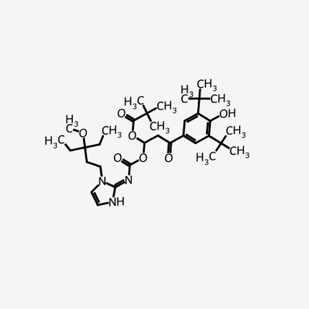 CCC(CC)(CCn1cc[nH]c1=NC(=O)OC(CC(=O)c1cc(C(C)(C)C)c(O)c(C(C)(C)C)c1)OC(=O)C(C)(C)C)OC